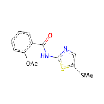 CSc1cnc(NC(=O)c2ccccc2OC(C)=O)s1